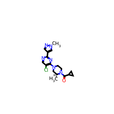 C[C@@H]1CN(c2nc(-c3cnn(C)c3)ncc2Cl)CCN1C(=O)C1CC1